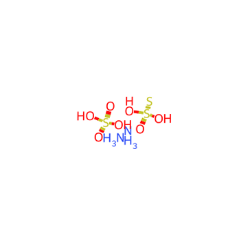 N.N.O=S(=O)(O)O.O=S(O)(O)=S